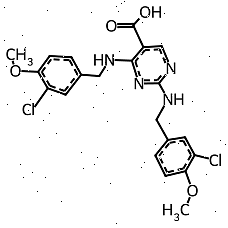 COc1ccc(CNc2ncc(C(=O)O)c(NCc3ccc(OC)c(Cl)c3)n2)cc1Cl